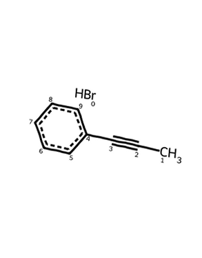 Br.CC#Cc1ccccc1